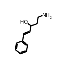 NCCC(O)C=Cc1ccccc1